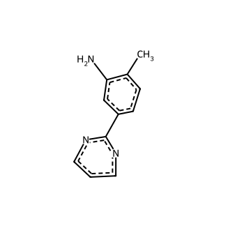 Cc1ccc(-c2ncccn2)cc1N